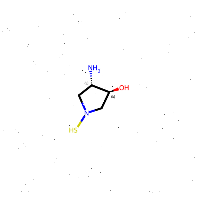 N[C@H]1CN(S)C[C@@H]1O